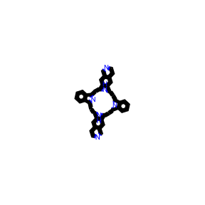 c1ccc2c(c1)-c1cc3[nH]c(cc4nc(cc5[nH]c(cc-2n1)c1cc2cnccc2cc51)-c1ccccc1-4)c1cc2cnccc2cc31